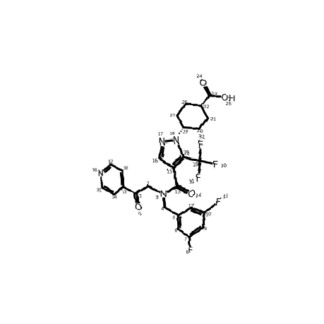 O=C(CN(Cc1cc(F)cc(F)c1)C(=O)c1cnn([C@H]2CC[C@H](C(=O)O)CC2)c1C(F)(F)F)c1ccncc1